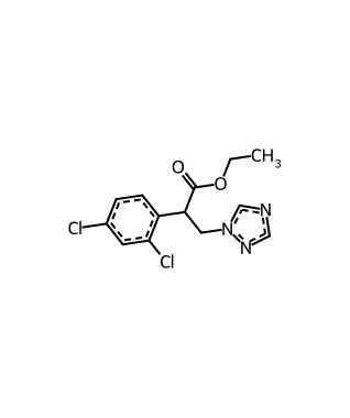 CCOC(=O)C(Cn1cncn1)c1ccc(Cl)cc1Cl